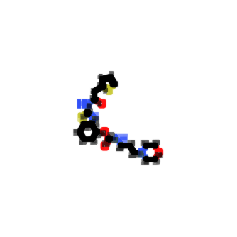 O=C(Cc1cccs1)Nc1nc2c(s1)CCCC2OC(=O)NCCCN1CCOCC1